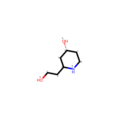 OCCC1C[C@H](O)CCN1